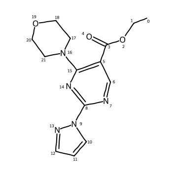 CCOC(=O)c1cnc(-n2cccn2)nc1N1CCOCC1